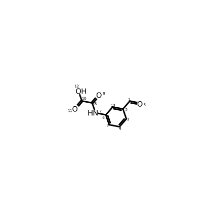 O=Cc1cccc(NC(=O)C(=O)O)c1